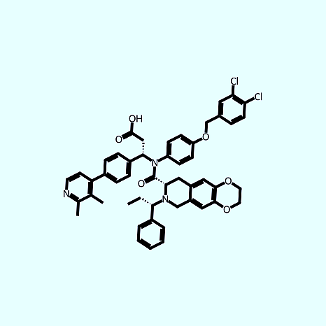 CC[C@@H](c1ccccc1)N1Cc2cc3c(cc2C[C@H]1C(=O)N(c1ccc(OCc2ccc(Cl)c(Cl)c2)cc1)[C@@H](CC(=O)O)c1ccc(-c2ccnc(C)c2C)cc1)OCCO3